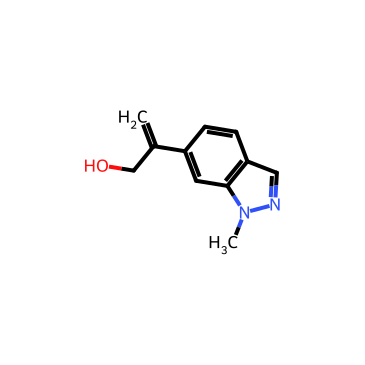 C=C(CO)c1ccc2cnn(C)c2c1